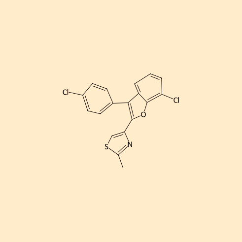 Cc1nc(-c2oc3c(Cl)cccc3c2-c2ccc(Cl)cc2)cs1